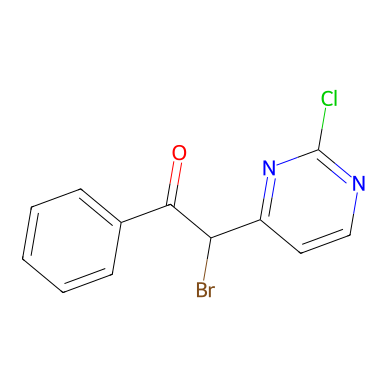 O=C(c1ccccc1)C(Br)c1ccnc(Cl)n1